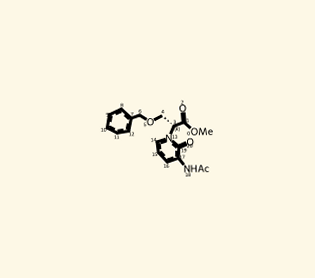 COC(=O)[C@@H](COCc1ccccc1)n1cccc(NC(C)=O)c1=O